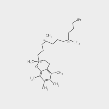 Cc1c(C)c(C)c2c(c1C)CC[C@@](C)(CCC[C@H](C)CCC[C@H](C)CCCC(C)C)O2